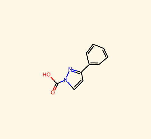 O=C(O)n1ccc(-c2ccccc2)n1